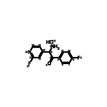 Cl.NC(C(=O)c1ccc(F)cc1)c1ccnc(F)c1